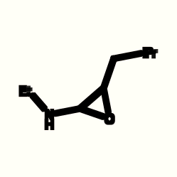 CCNC1OC1CC(C)C